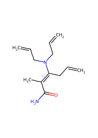 C=CC/C(=C(/C)C(N)=O)N(CC=C)CC=C